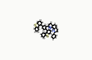 c1ccc(-c2ccc3ccc4ccc(-c5cc(-c6cccc7sc8ccccc8c67)ccc5-c5cccc6sc7ccccc7c56)nc4c3n2)cc1